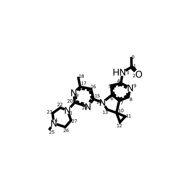 CC(=O)Nc1cc2c(cn1)C1(CC1)CN2c1cc(C)nc(N2CCN(C)CC2)n1